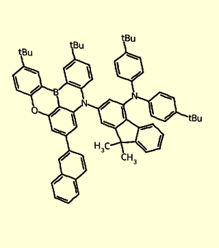 CC(C)(C)c1ccc(N(c2ccc(C(C)(C)C)cc2)c2cc(N3c4ccc(C(C)(C)C)cc4B4c5cc(C(C)(C)C)ccc5Oc5cc(-c6ccc7ccccc7c6)cc3c54)cc3c2-c2ccccc2C3(C)C)cc1